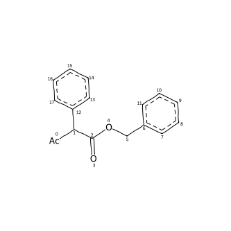 CC(=O)C(C(=O)OCc1ccccc1)c1ccccc1